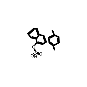 Cc1ccc(C)cc1.O=[SH](=O)Oc1cccc2ccccc12